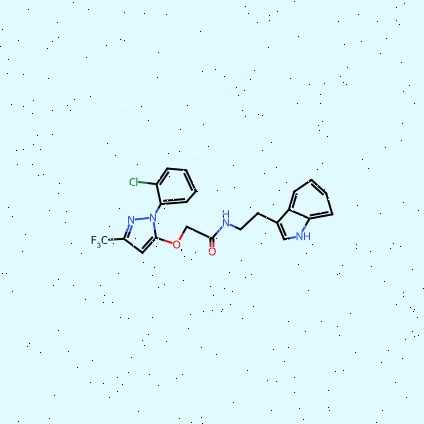 O=C(COc1cc(C(F)(F)F)nn1-c1ccccc1Cl)NCCc1c[nH]c2ccccc12